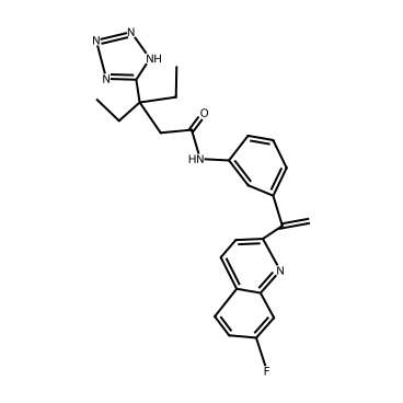 C=C(c1cccc(NC(=O)CC(CC)(CC)c2nnn[nH]2)c1)c1ccc2ccc(F)cc2n1